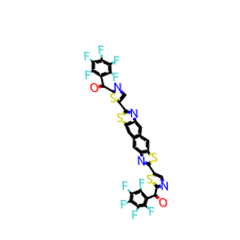 O=C(c1ncc(-c2nc3cc4cc5sc(-c6cnc(C(=O)c7c(F)c(F)c(F)c(F)c7F)s6)nc5cc4cc3s2)s1)c1c(F)c(F)c(F)c(F)c1F